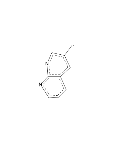 [CH2]c1cnc2ncccc2c1